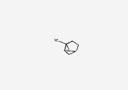 N#CC12CCC(CC1)N2